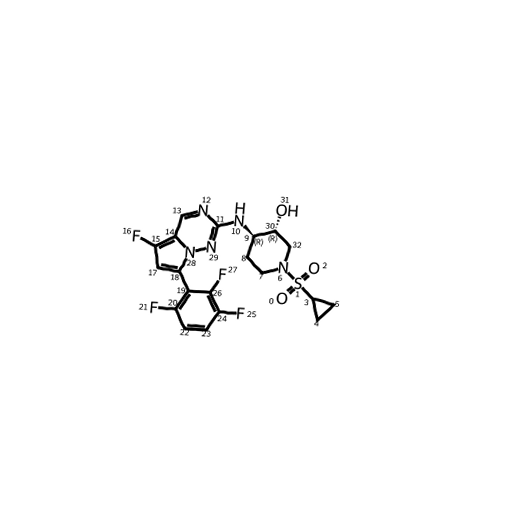 O=S(=O)(C1CC1)N1CC[C@@H](Nc2ncc3c(F)cc(-c4c(F)ccc(F)c4F)n3n2)[C@H](O)C1